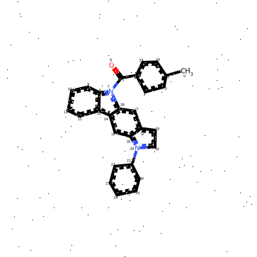 Cc1ccc(C(=O)n2c3ccccc3c3cc4c(ccn4-c4ccccc4)cc32)cc1